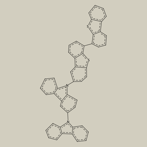 c1ccc2c(c1)sc1c(-c3cccc4c3sc3ccc(-n5c6ccccc6c6cc(-n7c8ccccc8c8ccccc87)ccc65)cc34)cccc12